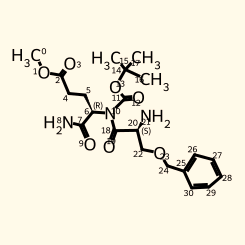 COC(=O)CC[C@H](C(N)=O)N(C(=O)OC(C)(C)C)C(=O)[C@@H](N)COCc1ccccc1